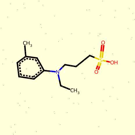 CCN(CCCS(=O)(=O)O)c1cccc(C)c1